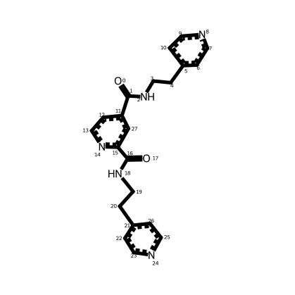 O=C(NCCc1ccncc1)c1ccnc(C(=O)NCCc2ccncc2)c1